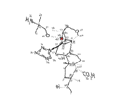 CC(C)[C@@H](C)[C@@]1(C)CC[C@]2(C)[C@H]3CC[C@@H]4[C@@]5(COC[C@]4(C)[C@@H](OCC(C)(C)N)[C@H](n4cnnn4)C5)C3=CC[C@@]2(C)[C@@H]1C(=O)O